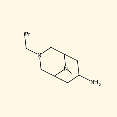 CC(C)CN1CC2CC(N)CC(C1)N2C